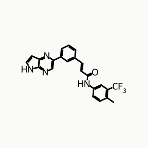 Cc1ccc(NC(=O)C=Cc2cccc(-c3cnc4[nH]ccc4n3)c2)cc1C(F)(F)F